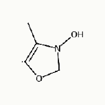 CC1=[C]OCN1O